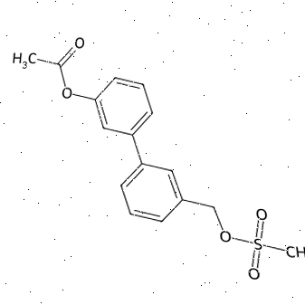 CC(=O)Oc1cccc(-c2cccc(COS(C)(=O)=O)c2)c1